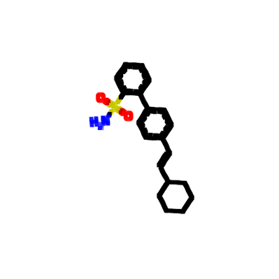 NS(=O)(=O)c1ccccc1-c1ccc(C=CC2CCCCC2)cc1